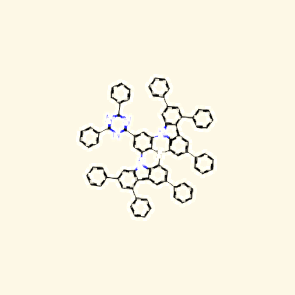 c1ccc(-c2cc3c4c(c2)c2c(-c5ccccc5)cc(-c5ccccc5)cc2n4-c2cc(-c4nc(-c5ccccc5)nc(-c5ccccc5)n4)cc4c2B3c2cc(-c3ccccc3)cc3c5c(-c6ccccc6)cc(-c6ccccc6)cc5n-4c23)cc1